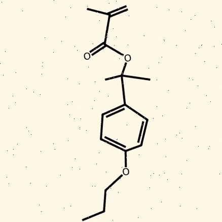 C=C(C)C(=O)OC(C)(C)c1ccc(OCCC)cc1